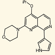 CC(C)Oc1cc(N2CCOCC2)nc2c(-c3cc[nH]c3)nccc12